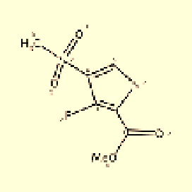 COC(=O)c1scc(S(C)(=O)=O)c1F